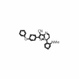 CNc1ccccc1C1CC=Nc2c(C#N)c(-c3ccc(Oc4ccccc4)cc3)nn21